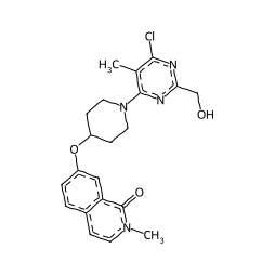 Cc1c(Cl)nc(CO)nc1N1CCC(Oc2ccc3ccn(C)c(=O)c3c2)CC1